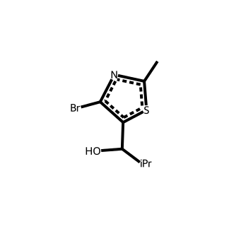 Cc1nc(Br)c(C(O)C(C)C)s1